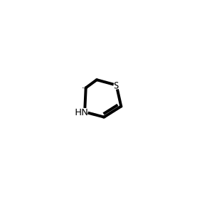 [CH]1CSC=CN1